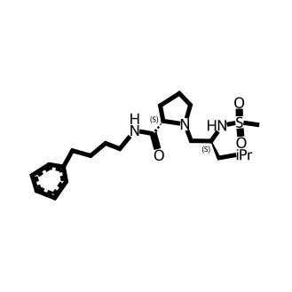 CC(C)C[C@@H](CN1CCC[C@H]1C(=O)NCCCCc1ccccc1)NS(C)(=O)=O